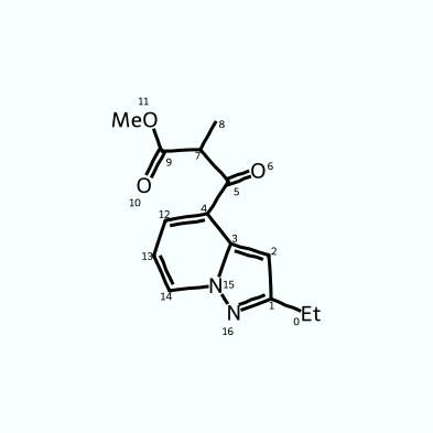 CCc1cc2c(C(=O)C(C)C(=O)OC)cccn2n1